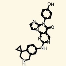 O=c1c2cnc(Nc3ccc4c(c3)CNCC43CC3)nc2n2ccnc2n1-c1ccc(O)cc1